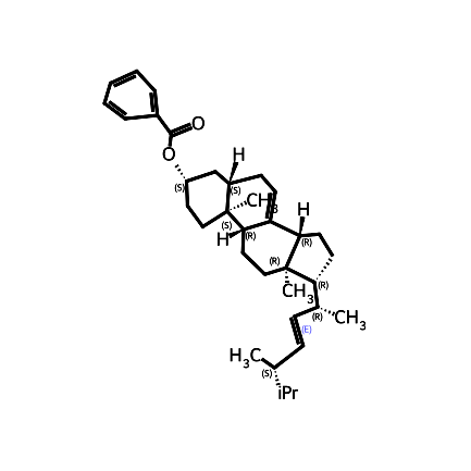 CC(C)[C@H](C)/C=C/[C@@H](C)[C@H]1CC[C@H]2C3=CC[C@H]4C[C@@H](OC(=O)c5ccccc5)CC[C@]4(C)[C@H]3CC[C@]12C